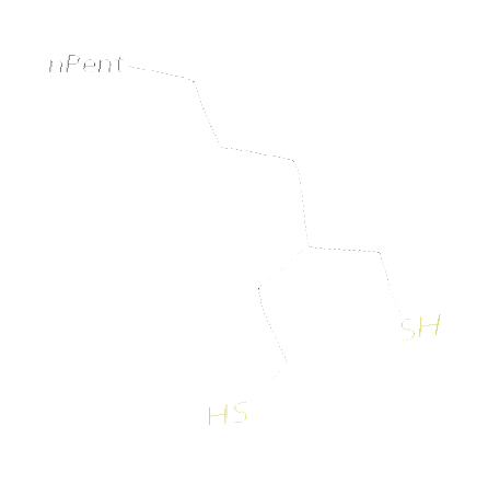 CCCCCCCCC(CS)CCS